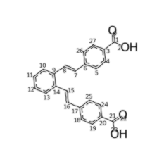 O=C(O)c1ccc(C=Cc2ccccc2C=Cc2ccc(C(=O)O)cc2)cc1